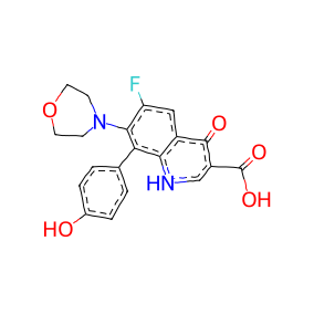 O=C(O)c1c[nH]c2c(-c3ccc(O)cc3)c(N3CCOCC3)c(F)cc2c1=O